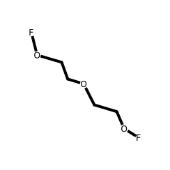 FOCCOCCOF